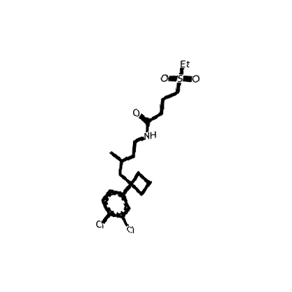 CCS(=O)(=O)CCCC(=O)NCCC(C)CC1(c2ccc(Cl)c(Cl)c2)CCC1